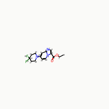 CCOC(=O)c1cnc2cc(N3CCC(F)(F)CC3)ccn12